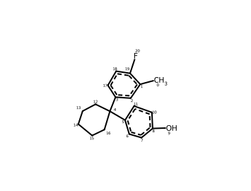 Cc1cc(C2(c3ccc(O)cc3)CCCCC2)ccc1F